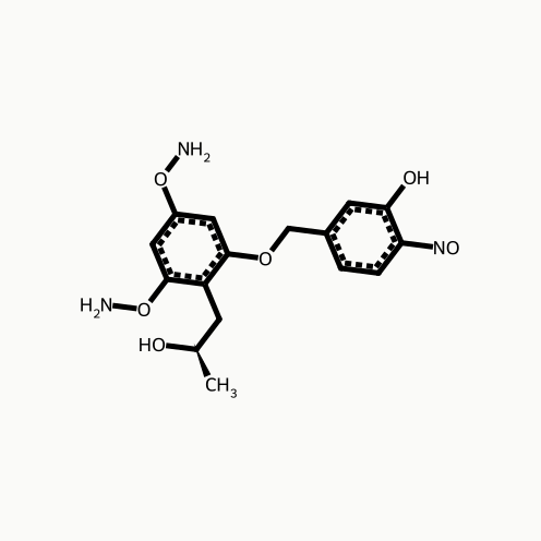 C[C@@H](O)Cc1c(ON)cc(ON)cc1OCc1ccc(N=O)c(O)c1